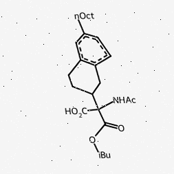 CCCCCCCCc1ccc2c(c1)CCC(C(NC(C)=O)(C(=O)O)C(=O)OC(C)CC)C2